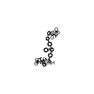 COC(=O)N[C@H](C(=O)C1CCC[C@H]1C1=CC(c2ccc([C@H]3CC[C@@H](c4ccc(-c5c[nH]c([C@@H]6CCCN6C(=O)[C@@H](NC(=O)OC)C(C)C)n5)cc4)N3c3ccccc3)cc2)=CC1)C(C)C